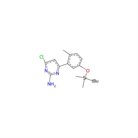 Cc1ccc(O[Si](C)(C)C(C)(C)C)cc1-c1cc(Cl)nc(N)n1